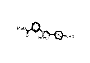 COC(=O)c1cccc(N2C=C(C34CCC(C=O)(CC3)CO4)ON2)c1